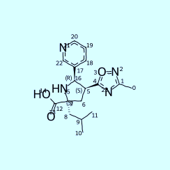 Cc1noc([C@H]2C[C@@](CC(C)C)(C(=O)O)N[C@H]2c2cccnc2)n1